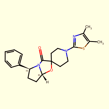 Cc1nc(N2CCC3(CC2)O[C@@H]2CC[C@@H](c4ccccc4)N2C3=O)sc1C